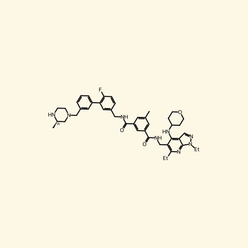 CCc1nc2c(cnn2CC)c(NC2CCOCC2)c1CNC(=O)c1cc(C)cc(C(=O)NCc2ccc(F)c(-c3cccc(CN4CCN[C@H](C)C4)c3)c2)c1